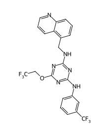 FC(F)(F)COc1nc(NCc2cccc3ncccc23)nc(Nc2cccc(C(F)(F)F)c2)n1